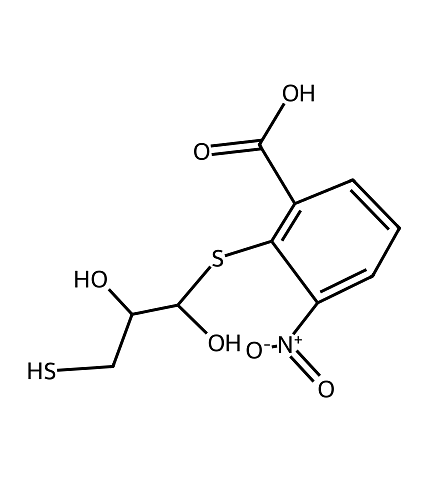 O=C(O)c1cccc([N+](=O)[O-])c1SC(O)C(O)CS